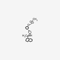 CC1OC(COc2cccc([C@@H]3CC[C@H](N[C@H](C)c4cccc5ccccc45)C3)c2)O1